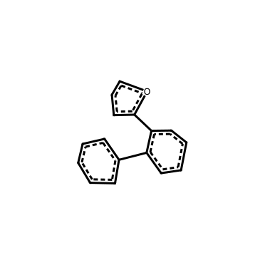 c1ccc(-c2ccccc2-c2ccco2)cc1